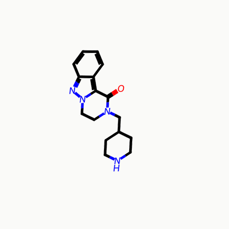 O=C1c2c3ccccc3nn2CCN1CC1CCNCC1